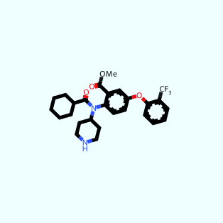 COC(=O)c1cc(Oc2ccccc2C(F)(F)F)ccc1N(C(=O)C1CCCCC1)C1CCNCC1